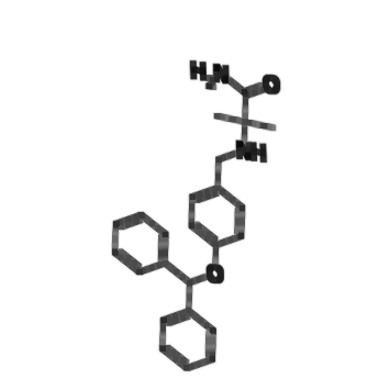 CC(C)(NCc1ccc(OC(c2ccccc2)c2ccccc2)cc1)C(N)=O